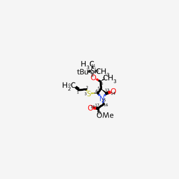 C=CCS[C@H]1[C@@H]([C@@H](C)O[Si](C)(C)C(C)(C)C)C(=O)N1CC(=O)OC